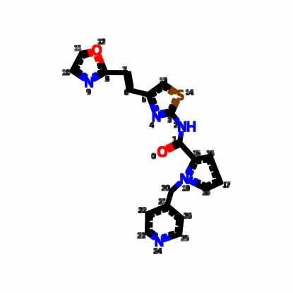 O=C(Nc1nc(C=Cc2ncco2)cs1)c1cccn1Cc1ccncc1